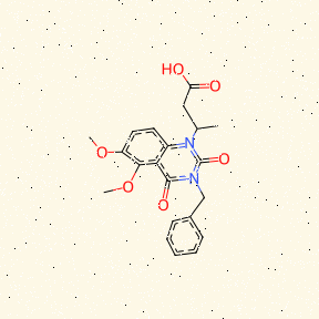 COc1ccc2c(c1OC)c(=O)n(Cc1ccccc1)c(=O)n2C(C)CC(=O)O